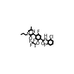 CCCn1cc(C)nc(-c2cc(O[C@@H](C)C(F)(F)F)c(C(=O)Nc3c(F)cccc3Cl)cc2F)c1=O